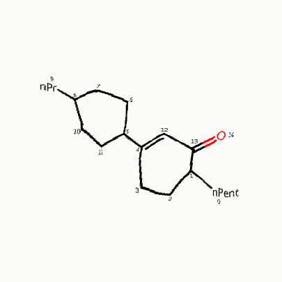 CCCCCC1CCC(C2CCC(CCC)CC2)=CC1=O